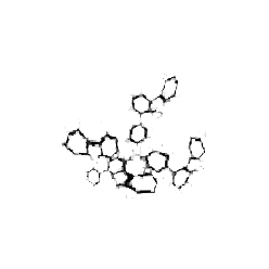 c1ccc(-n2c3ccccc3c3ccccc32)c(-c2ccc(N(c3ccc(-c4cccc5c4sc4ccccc45)cc3)c3ccc(-c4cccc5sc6ccccc6c45)cc3)c3c2oc2ccccc23)c1